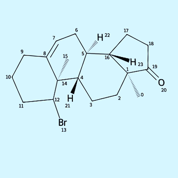 C[C@]12CC[C@H]3[C@@H](CC=C4CCCC(Br)[C@@]43C)[C@@H]1CCC2=O